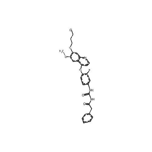 COc1cc2c(Oc3ccc(NC(=O)NC(=O)Cc4ccccc4)cc3F)ccnc2cc1OCCCCl